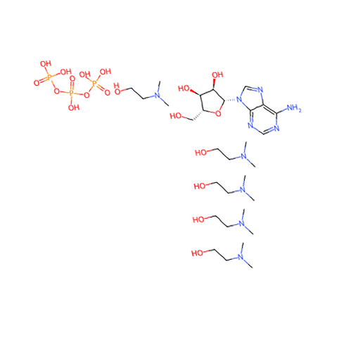 CN(C)CCO.CN(C)CCO.CN(C)CCO.CN(C)CCO.CN(C)CCO.Nc1ncnc2c1ncn2[C@@H]1O[C@H](CO)[C@@H](O)[C@H]1O.O=P(O)(O)OP(=O)(O)OP(=O)(O)O